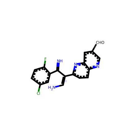 N=C(/C(=C\N)c1ccc2ncc(C=O)cc2n1)c1cc(Cl)ccc1F